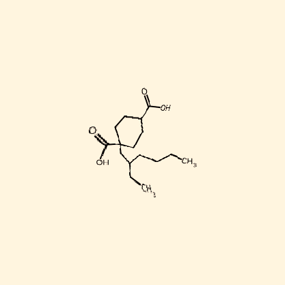 CCCCC(CC)CC1(C(=O)O)CCC(C(=O)O)CC1